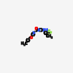 Cc1ccc(COC2CCN(CCC(=O)N3CCC(Nc4ccc(C)c(C(F)(F)F)c4)CC3)CC2)cc1